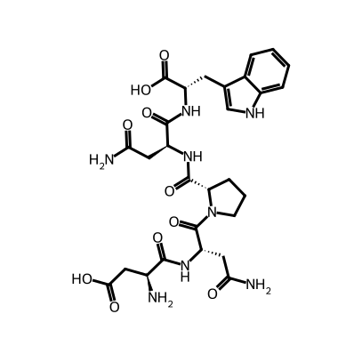 NC(=O)C[C@H](NC(=O)[C@@H]1CCCN1C(=O)[C@H](CC(N)=O)NC(=O)[C@@H](N)CC(=O)O)C(=O)N[C@@H](Cc1c[nH]c2ccccc12)C(=O)O